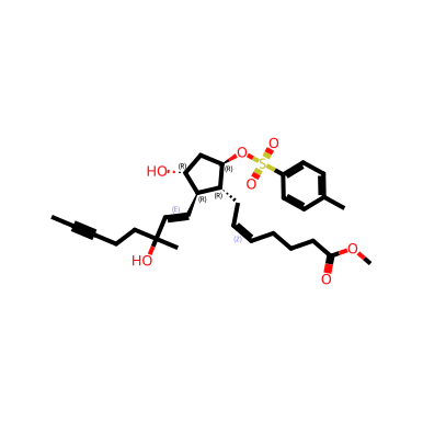 CC#CCCC(C)(O)/C=C/[C@@H]1[C@@H](C/C=C\CCCC(=O)OC)[C@H](OS(=O)(=O)c2ccc(C)cc2)C[C@H]1O